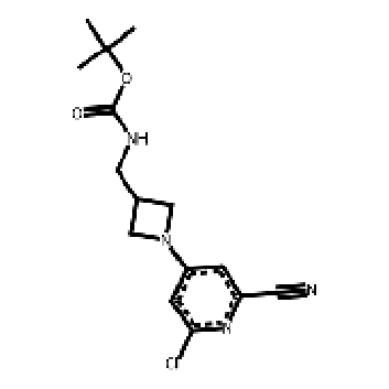 CC(C)(C)OC(=O)NCC1CN(c2cc(Cl)nc(C#N)c2)C1